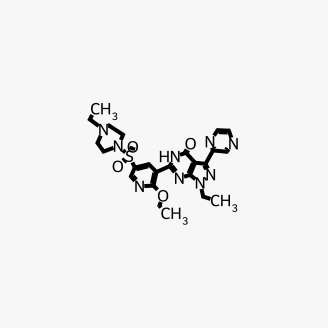 CCOc1ncc(S(=O)(=O)N2CCN(CC)CC2)cc1-c1nc2c(c(-c3cnccn3)nn2CC)c(=O)[nH]1